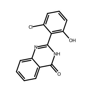 O=c1[nH]c(-c2c(O)cccc2Cl)nc2ccccc12